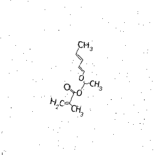 C=C(C)C(=O)OC(C)OC=CC=CC